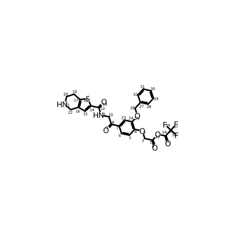 O=C(COc1ccc(C(=O)CNC(=O)c2cc3c(s2)CCNC3)cc1OCc1ccccc1)OC(=O)C(F)(F)F